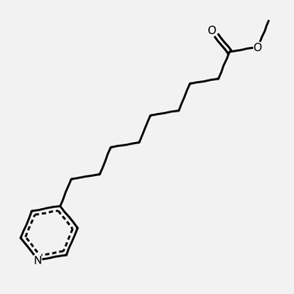 COC(=O)CCCCCCCCc1ccncc1